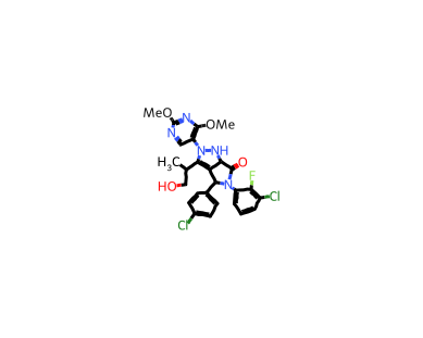 COc1ncc(N2NC3C(=O)N(c4cccc(Cl)c4F)C(c4ccc(Cl)cc4)C3=C2C(C)CO)c(OC)n1